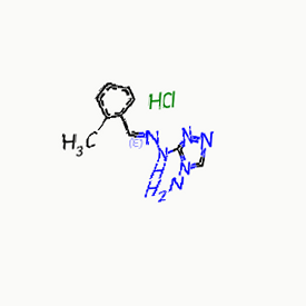 Cc1ccccc1/C=N/Nc1nncn1N.Cl